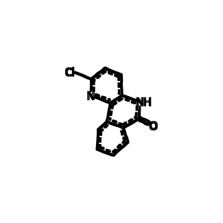 O=c1[nH]c2ccc(Cl)nc2c2ccccc12